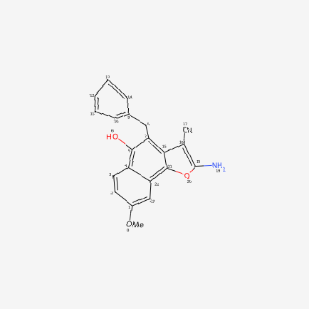 COc1ccc2c(O)c(Cc3ccccc3)c3c(C#N)c(N)oc3c2c1